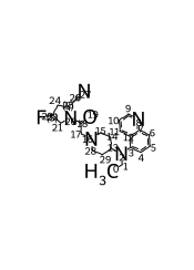 CCN(c1cccc2ncccc12)C1CCN(CC(=O)N2C[C@@H](F)C[C@H]2C#N)CC1